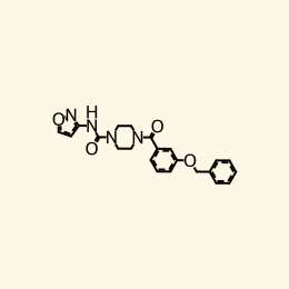 O=C(Nc1ccon1)N1CCN(C(=O)c2cccc(OCc3ccccc3)c2)CC1